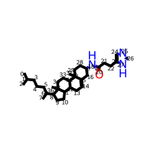 CC(C)CCCC(C)C1CCC2C3CC=C4CC(NC(=O)CCc5cnc[nH]5)CCC4(C)C3CCC12C